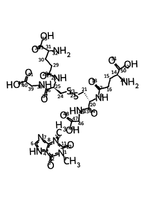 Cn1c(=O)c2[nH]cnc2n(C)c1=O.N[C@@H](CCC(=O)N[C@@H](CSSC[C@H](NC(=O)CC[C@H](N)C(=O)O)C(=O)NCC(=O)O)C(=O)NCC(=O)O)C(=O)O